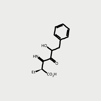 CC[C@@H](C(=N)C(=O)C(O)Cc1ccccc1)C(=O)O